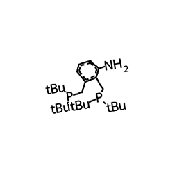 CC(C)(C)P(Cc1cccc(N)c1CP(C(C)(C)C)C(C)(C)C)C(C)(C)C